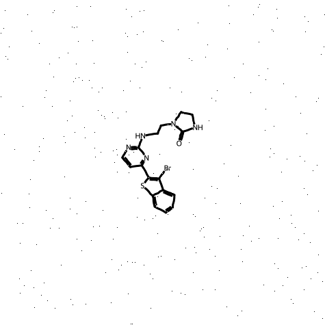 O=C1NCCN1CCNc1nccc(-c2sc3ccccc3c2Br)n1